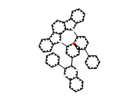 c1ccc(-c2ccc(-n3c4ccccc4c4ccc5c6ccccc6n(-c6cccc(-c7nc8ccccc8nc7-c7ccccc7)c6)c5c43)cc2)cc1